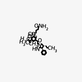 CCC[C@H]1CN(CC(=O)c2cc(OCCCC(N)=O)c(OC)c(C(C)(C)C)c2)C(=N)[C@@H]1c1ccccc1